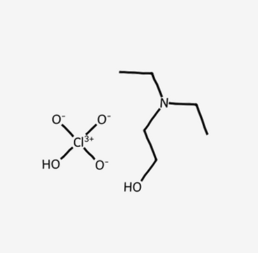 CCN(CC)CCO.[O-][Cl+3]([O-])([O-])O